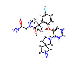 CC(C)(C(=O)NCC(N)=O)c1cc(F)ccc1Oc1cncnc1N1CCC2(CCNC2)C1